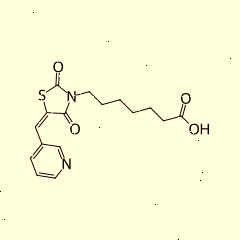 O=C(O)CCCCCCN1C(=O)SC(=Cc2cccnc2)C1=O